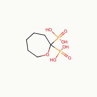 O=P(O)(O)C1(P(=O)(O)O)CCCCCO1